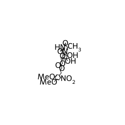 COc1cc(CCOC(=O)OC[C@H]2O[C@@H](n3cc(C)c(=O)[nH]c3=O)C(O)C2O)c([N+](=O)[O-])cc1OC